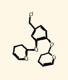 ClCc1ccc(OC2CCC=CO2)c(OC2CCC=CO2)c1